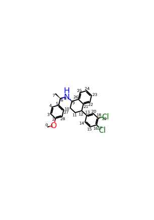 COc1ccc([C@@H](C)N[C@@H]2CCC(c3ccc(Cl)c(Cl)c3)c3ccccc32)cc1